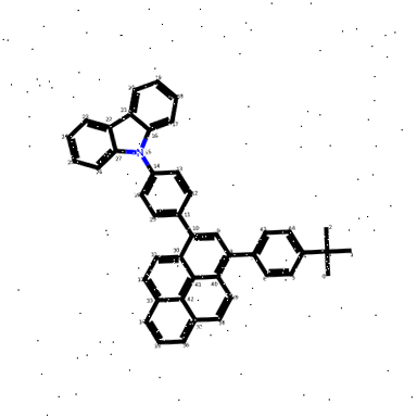 CC(C)(C)c1ccc(-c2cc(-c3ccc(-n4c5ccccc5c5ccccc54)cc3)c3ccc4cccc5ccc2c3c45)cc1